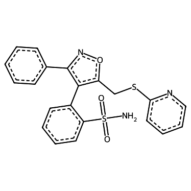 NS(=O)(=O)c1ccccc1-c1c(-c2ccccc2)noc1CSc1ccccn1